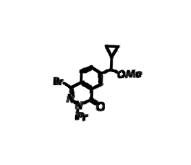 COC(c1ccc2c(Br)nn(C(C)C)c(=O)c2c1)C1CC1